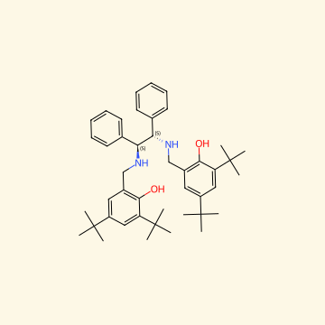 CC(C)(C)c1cc(CN[C@@H](c2ccccc2)[C@@H](NCc2cc(C(C)(C)C)cc(C(C)(C)C)c2O)c2ccccc2)c(O)c(C(C)(C)C)c1